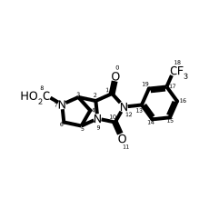 O=C1C2C3CC(CN3C(=O)O)N2C(=O)N1c1cccc(C(F)(F)F)c1